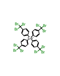 BrC(Br)(Br)c1cc[c]([Ga-]([c]2ccc(C(Br)(Br)Br)cc2)([c]2ccc(C(Br)(Br)Br)cc2)[c]2ccc(C(Br)(Br)Br)cc2)cc1